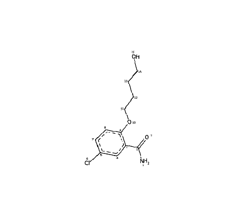 NC(=O)c1cc(Cl)ccc1OCCCCO